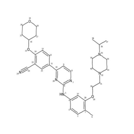 Cc1ccc(Nc2nccc(-c3ccc(OC4CCOCC4)c(C#N)c3)n2)cc1OCCN1CCN(C(C)C)CC1